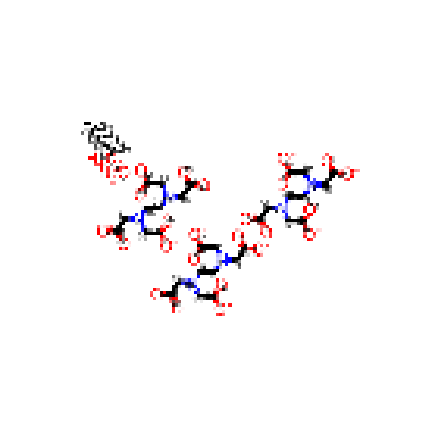 O.O.O.O=C([O-])CN(CCN(CC(=O)[O-])CC(=O)[O-])CC(=O)[O-].O=C([O-])CN(CCN(CC(=O)[O-])CC(=O)[O-])CC(=O)[O-].O=C([O-])CN(CCN(CC(=O)[O-])CC(=O)[O-])CC(=O)[O-].[Fe+3].[Fe+3].[Fe+3].[Fe+3]